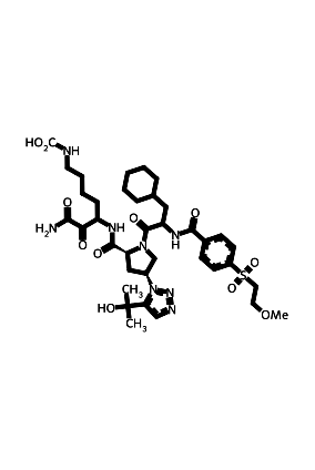 COCCS(=O)(=O)c1ccc(C(=O)NC(CC2CCCCC2)C(=O)N2C[C@@H](n3nncc3C(C)(C)O)C[C@H]2C(=O)NC(CCCCNC(=O)O)C(=O)C(N)=O)cc1